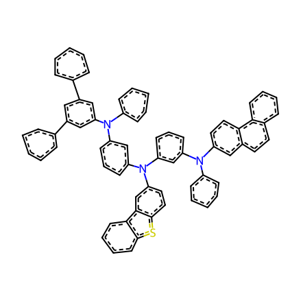 c1ccc(-c2cc(-c3ccccc3)cc(N(c3ccccc3)c3cccc(N(c4cccc(N(c5ccccc5)c5ccc6c(ccc7ccccc76)c5)c4)c4ccc5sc6ccccc6c5c4)c3)c2)cc1